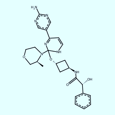 C[C@H]1COCCN1C1(O[C@H]2C[C@H](NC(=O)[C@H](O)c3ccccc3)C2)N=C(c2cnc(N)nc2)C=CN1